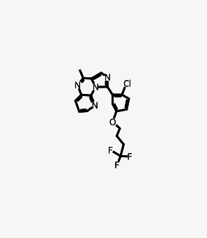 Cc1nc2cccnc2n2c(-c3cc(OCCCC(F)(F)F)ccc3Cl)ncc12